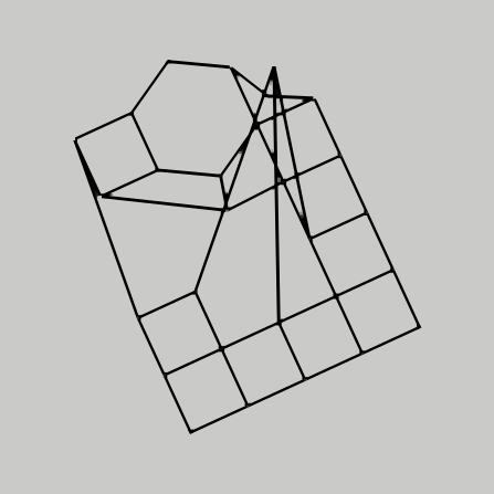 C1C2C3C4C5CC6C7C8CC9C%10C%11C%12CC1C%121C%12C2C3C%12C%111C%101C2C4C56C72C891